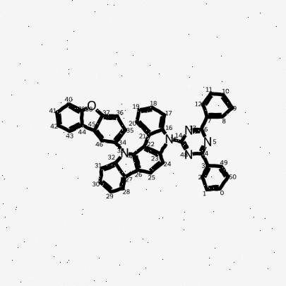 c1ccc(-c2nc(-c3ccccc3)nc(-n3c4ccccc4c4c3ccc3c5ccccc5n(-c5ccc6oc7ccccc7c6c5)c34)n2)cc1